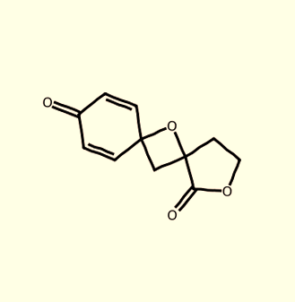 O=C1C=CC2(C=C1)CC1(CCOC1=O)O2